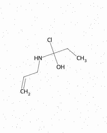 C=CCNC(O)(Cl)CC